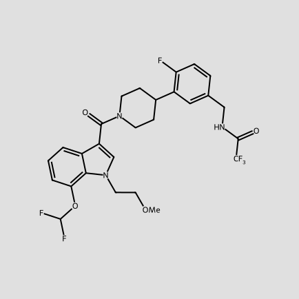 COCCn1cc(C(=O)N2CCC(c3cc(CNC(=O)C(F)(F)F)ccc3F)CC2)c2cccc(OC(F)F)c21